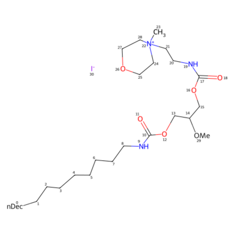 CCCCCCCCCCCCCCCCCCNC(=O)OCC(COC(=O)NCC[N+]1(C)CCOCC1)OC.[I-]